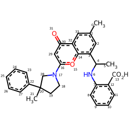 Cc1cc(C(C)Nc2ccccc2C(=O)O)c2oc(N3CCC(C)(c4ccccc4)C3)cc(=O)c2c1